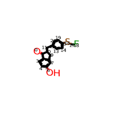 O=C1c2ccc(O)cc2CC1Cc1ccc(SCF)cc1